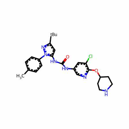 Cc1ccc(-n2nc(C(C)(C)C)cc2NC(=O)Nc2cnc(OC3CCNCC3)c(Cl)c2)cc1